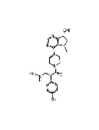 C[C@@H]1C[C@@H](O)c2ncnc(C3=CCN(C(=O)[C@H](CNC(C)(C)C)c4ccc(Br)cc4)CC3)c21